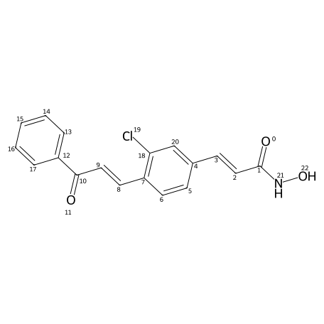 O=C(/C=C/c1ccc(/C=C/C(=O)c2ccccc2)c(Cl)c1)NO